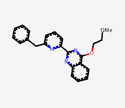 COCCOc1nc(-c2cccc(Cc3ccccc3)n2)nc2ccccc12